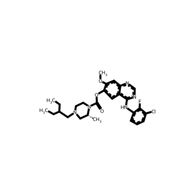 CCC(CC)CN1CCN(C(=O)Oc2cc3c(Nc4cccc(Cl)c4F)ncnc3cc2OC)[C@H](C)C1